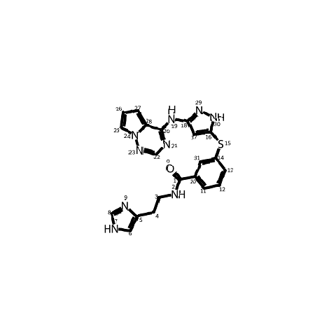 O=C(NCCc1c[nH]cn1)c1cccc(Sc2cc(Nc3ncnn4cccc34)n[nH]2)c1